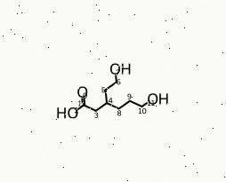 O=C(O)CC(CCO)CCCO